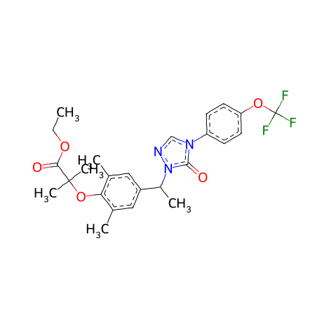 CCOC(=O)C(C)(C)Oc1c(C)cc(C(C)n2ncn(-c3ccc(OC(F)(F)F)cc3)c2=O)cc1C